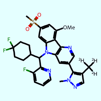 [2H]C([2H])([2H])c1cnn(C)c1-c1cnc2c3c(OC)cc(S(C)(=O)=O)cc3n(C(c3ncccc3F)C3CCC(F)(F)CC3)c2c1